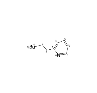 CCCCCCc1cc[c]cn1